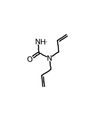 C=CCN(CC=C)C([NH])=O